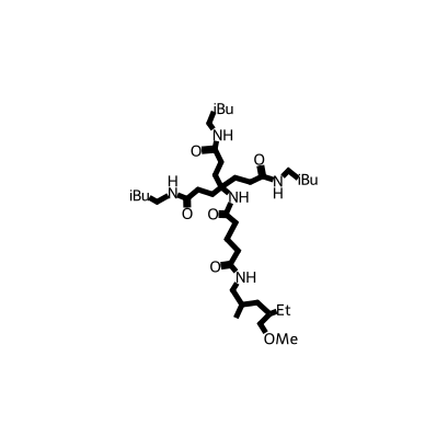 CCC(C)CNC(=O)CCC(CCC(=O)NCC(C)CC)(CCC(=O)NCC(C)CC)NC(=O)CCCC(=O)NCC(C)CC(CC)COC